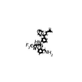 NCc1cccc(-n2nc(C(F)(F)F)cc2C(=O)Nc2cccc(C(CCC3CC3)N3CCOCC3)c2)c1